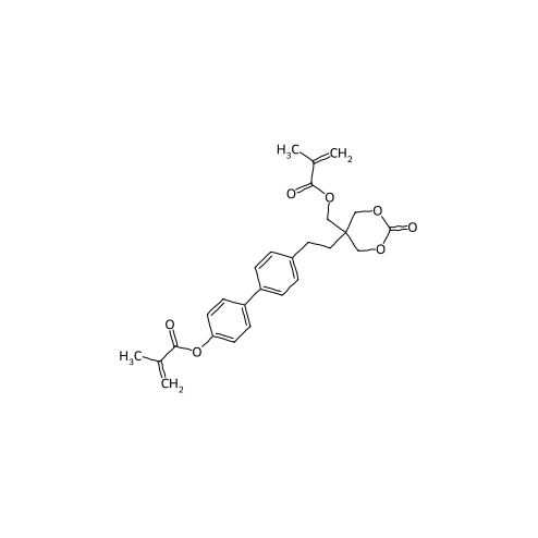 C=C(C)C(=O)OCC1(CCc2ccc(-c3ccc(OC(=O)C(=C)C)cc3)cc2)COC(=O)OC1